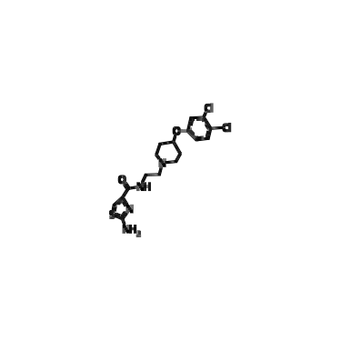 Nc1nc(C(=O)NCCN2CCC(Oc3ccc(Cl)c(Cl)c3)CC2)cs1